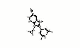 Cc1cc(-c2[nH]c3cc(Br)ccc3c2C2CC2)cc(C)n1